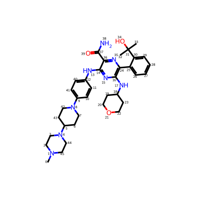 CN1CCN(C2CCN(c3ccc(Nc4nc(NC5CCOCC5)c(-c5ccccc5C(C)(C)O)nc4C(N)=O)cc3)CC2)CC1